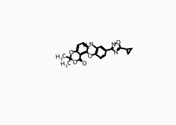 CC1(C)OC(=O)c2c(Oc3ccc(-c4noc(C5CC5)n4)cc3N)cccc2O1